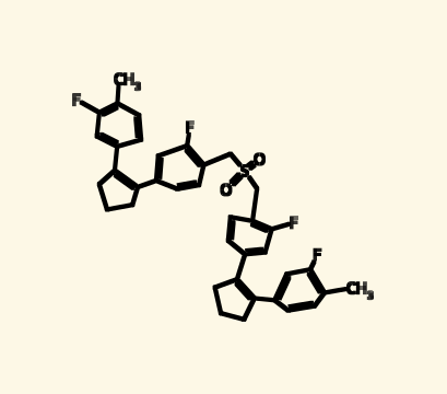 Cc1ccc(C2=C(c3ccc(CS(=O)(=O)Cc4ccc(C5=C(c6ccc(C)c(F)c6)CCC5)cc4F)c(F)c3)CCC2)cc1F